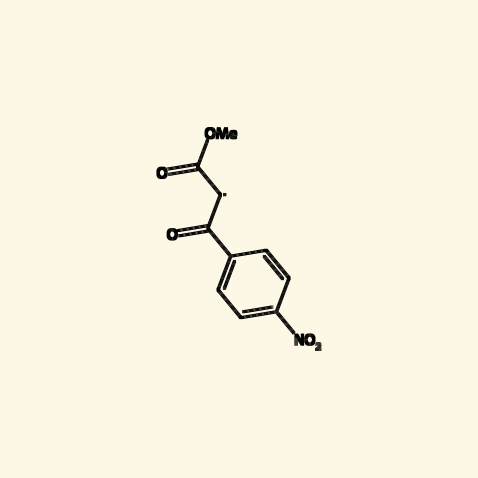 COC(=O)[CH]C(=O)c1ccc([N+](=O)[O-])cc1